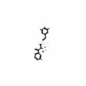 CP(=O)(O)C(C(=O)NC=Cc1cc(F)c(F)c(F)c1)c1csc2ccc(Cl)cc12